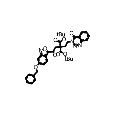 CC(C)(C)OC(=O)C(CCn1nnc2ccccc2c1=O)(CC(=O)c1onc2cc(OCc3ccccc3)ccc12)C(=O)OC(C)(C)C